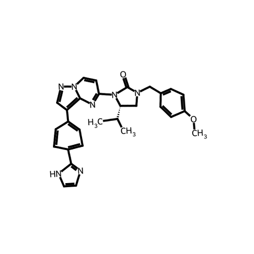 COc1ccc(CN2C[C@H](C(C)C)N(c3ccn4ncc(-c5ccc(-c6ncc[nH]6)cc5)c4n3)C2=O)cc1